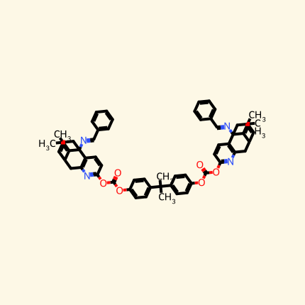 C/C=C1\C2C=C(C)CC1(/N=C/c1ccccc1)c1ccc(OC(=O)Oc3ccc(C(C)(C)c4ccc(OC(=O)Oc5ccc6c(n5)CC5C=C(C)CC6(/N=C/c6ccccc6)/C5=C/C)cc4)cc3)nc1C2